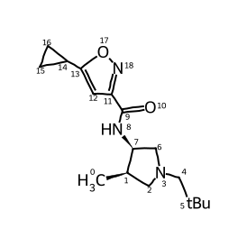 C[C@@H]1CN(CC(C)(C)C)C[C@@H]1NC(=O)c1cc(C2CC2)on1